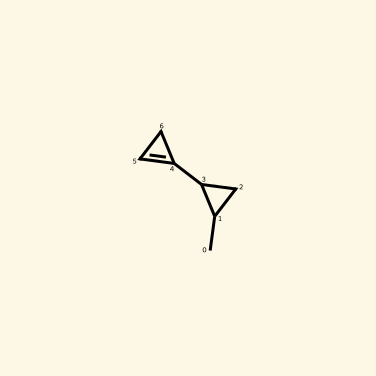 CC1CC1C1=CC1